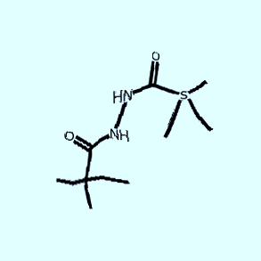 CC(C)(C)C(=O)NNC(=O)S(C)(C)C